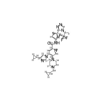 CC(n1cnnc1-c1nc(NC(=O)c2cc(-n3cnc(C4CC4)c3)c(N3CCN(CC4CC4)CC3)cn2)cs1)C(F)(F)F